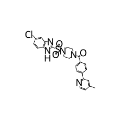 Cc1ccnc(-c2ccc(C(=O)N3CCN(S(=O)(=O)c4nc5cc(Cl)ccc5[nH]4)CC3)cc2)c1